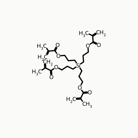 C=C(C)C(=O)OCCC[Si](CCCOC(=O)C(=C)C)(CCCOC(=O)C(=C)C)CCCOC(=O)C(=C)C